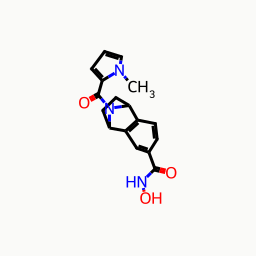 Cn1cccc1C(=O)N1C2CCC1c1cc(C(=O)NO)ccc12